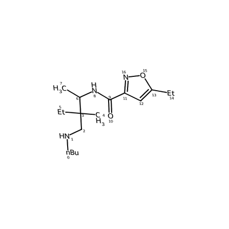 CCCCNCC(C)(CC)C(C)NC(=O)c1cc(CC)on1